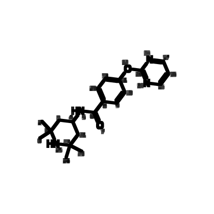 CC1(C)CC(NC(=O)c2ccc(Oc3ncccn3)cc2)CC(C)(C)N1